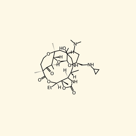 CC[C@H]1OC(=O)[C@@]2(C)CCO[C@@](C)(C[C@@H](C)CN[C@H](C)[C@H]3NC(=O)O[C@@]31C)[C@H](O[C@@H]1O[C@H](CNC3CC3)CC(N(C)C)C1O)[C@@H](C)C2=O